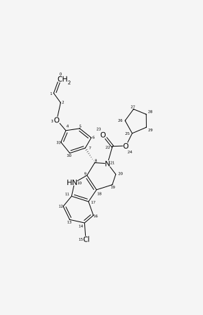 C=CCOc1ccc([C@H]2c3[nH]c4ccc(Cl)cc4c3CCN2C(=O)OC2CCCC2)cc1